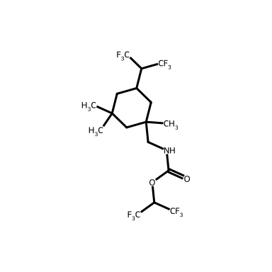 CC1(C)CC(C(C(F)(F)F)C(F)(F)F)CC(C)(CNC(=O)OC(C(F)(F)F)C(F)(F)F)C1